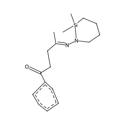 CC(CCC(=O)c1ccccc1)=NN1CCCC[Si]1(C)C